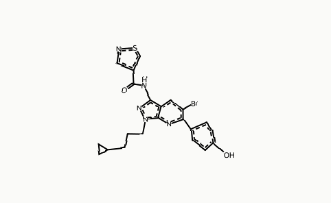 O=C(Nc1nn(CCCC2CC2)c2nc(-c3ccc(O)cc3)c(Br)cc12)c1cnsc1